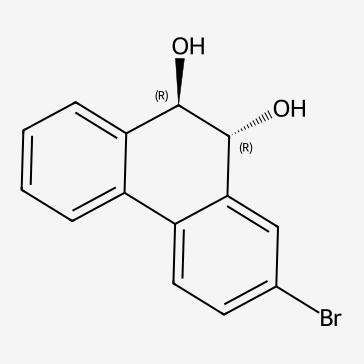 O[C@@H]1c2ccccc2-c2ccc(Br)cc2[C@H]1O